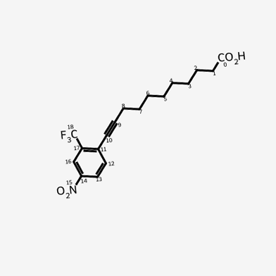 O=C(O)CCCCCCCCC#Cc1ccc([N+](=O)[O-])cc1C(F)(F)F